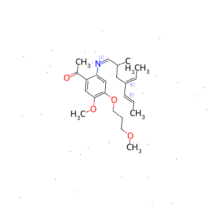 C/C=C/C(=C/C)CC(C)/C=N\c1cc(OCCCOC)c(OC)cc1C(C)=O